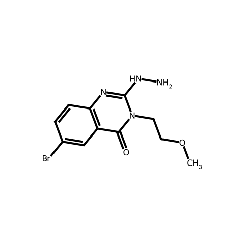 COCCn1c(NN)nc2ccc(Br)cc2c1=O